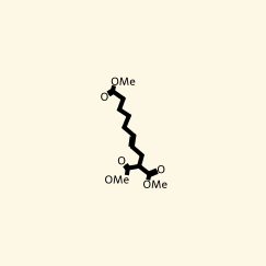 COC(=O)CCCC/C=C/CC(C(=O)OC)C(=O)OC